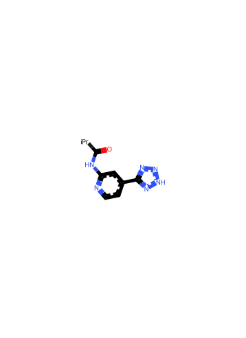 CC(C)C(=O)Nc1cc(-c2nn[nH]n2)ccn1